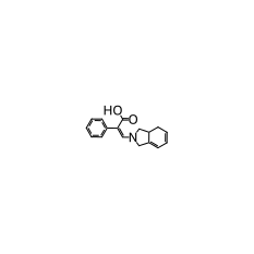 O=C(O)C(=CN1CC2=CC=CCC2C1)c1ccccc1